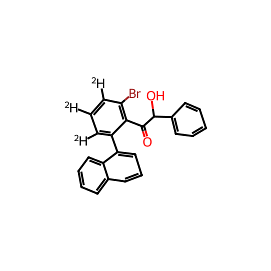 [2H]c1c([2H])c(Br)c(C(=O)C(O)c2ccccc2)c(-c2cccc3ccccc23)c1[2H]